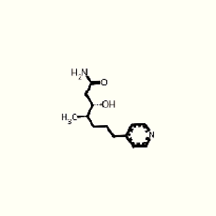 C[C@H](CCCc1ccncc1)[C@@H](O)CC(N)=O